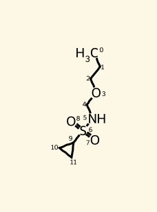 CCCOCNS(=O)(=O)C1CC1